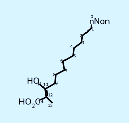 CCCCCCCCCCCCCCCCCCC(O)=C(C)C(=O)O